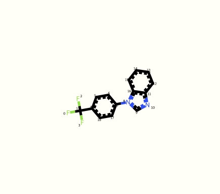 FC(F)(F)c1ccc(-n2cnc3c[c]ccc32)cc1